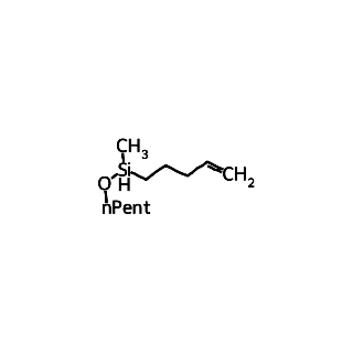 C=CCCC[SiH](C)OCCCCC